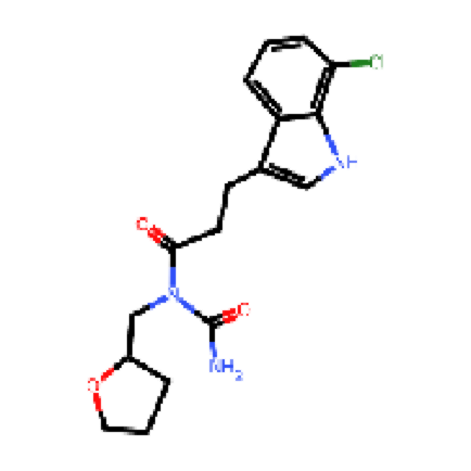 NC(=O)N(CC1CCCO1)C(=O)CCc1c[nH]c2c(Cl)cccc12